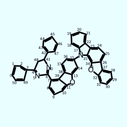 c1ccc(C2=NC(c3cccc4oc5cc(-n6c7ccccc7c7ccc8c9ccccc9oc8c76)ccc5c34)=NC(c3ccccc3)C2)cc1